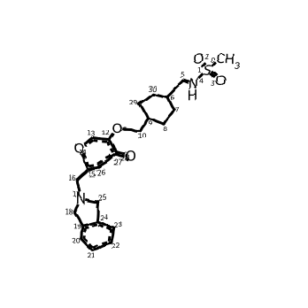 CS(=O)(=O)NCC1CCC(COc2coc(CN3Cc4ccccc4C3)cc2=O)CC1